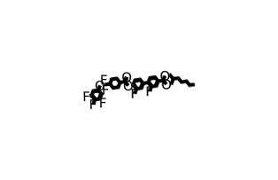 CCCCCC1COC(c2ccc(-c3ccc(OC(=O)C4CCC(C(F)(F)Oc5cc(F)c(F)c(F)c5)CC4)c(F)c3)c(F)c2)OC1